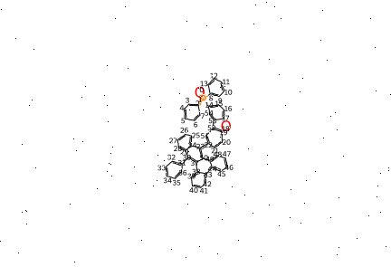 O=P(c1ccccc1)(c1ccccc1)c1ccc2oc3ccc(-c4c5ccccc5c(-c5ccccc5)c5c6ccccc6c6ccccc6c45)cc3c2c1